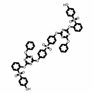 O=S(=O)(c1ccc(Oc2nc(Oc3ccccc3)nc(Oc3ccccc3S(=O)(=O)c3ccc(O)cc3)n2)cc1)c1ccc(Oc2nc(Oc3ccccc3)nc(Oc3ccccc3S(=O)(=O)c3ccc(O)cc3)n2)cc1